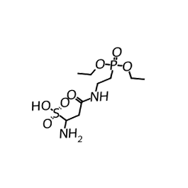 CCOP(=O)(CCNC(=O)CC(N)S(=O)(=O)O)OCC